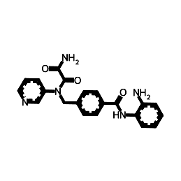 NC(=O)C(=O)N(Cc1ccc(C(=O)Nc2ccccc2N)cc1)c1cccnc1